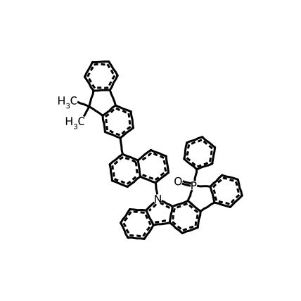 CC1(C)c2ccccc2-c2ccc(-c3cccc4c(-n5c6ccccc6c6ccc7c(c65)P(=O)(c5ccccc5)c5ccccc5-7)cccc34)cc21